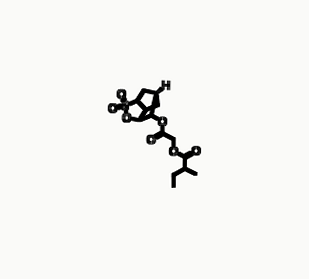 CCC(C)C(=O)OCC(=O)OC1C2OS(=O)(=O)C3C[C@@H]1CC23